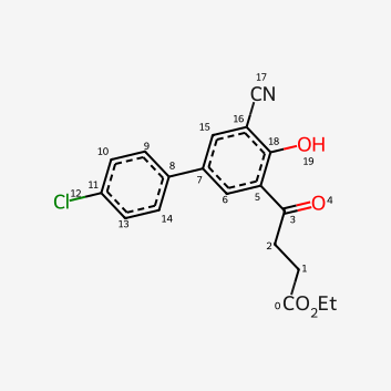 CCOC(=O)CCC(=O)c1cc(-c2ccc(Cl)cc2)cc(C#N)c1O